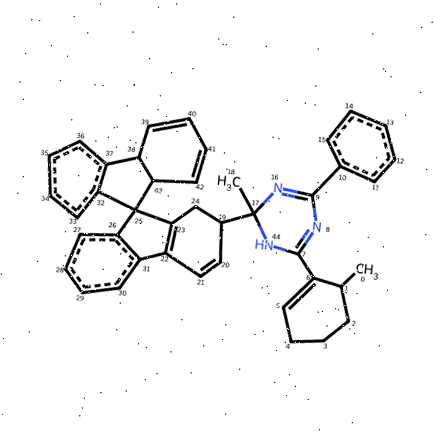 CC1CCCC=C1C1=NC(c2ccccc2)=NC(C)(C2C=CC3=C(C2)C2(c4ccccc43)c3ccccc3C3C=CC=CC32)N1